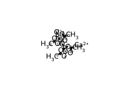 CC(=O)OP(=O)([O-])OC(C)=O.CC(=O)OP(=O)([O-])OC(C)=O.[Ca+2]